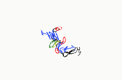 Cc1cccc(CNC(=O)CN2Cc3sc(-c4nc(NC5CCOCC5)ncc4Cl)cc3C2=O)c1